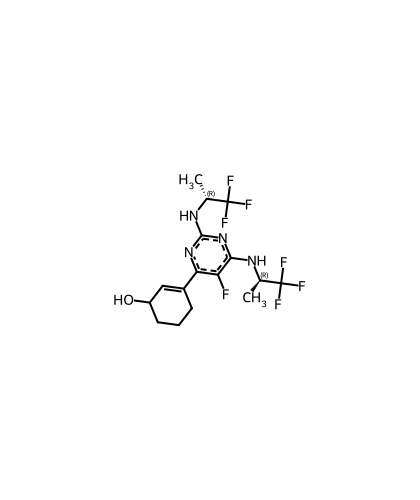 C[C@@H](Nc1nc(N[C@H](C)C(F)(F)F)c(F)c(C2=CC(O)CCC2)n1)C(F)(F)F